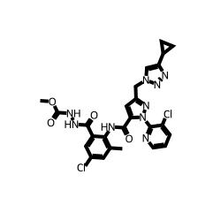 COC(=O)NNC(=O)c1cc(Cl)cc(C)c1NC(=O)c1cc(Cn2cc(C3CC3)nn2)nn1-c1ncccc1Cl